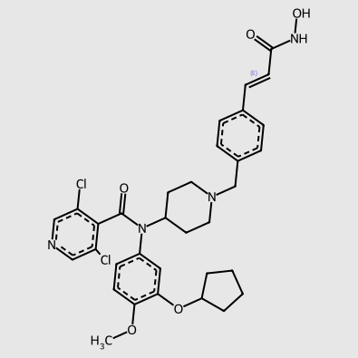 COc1ccc(N(C(=O)c2c(Cl)cncc2Cl)C2CCN(Cc3ccc(/C=C/C(=O)NO)cc3)CC2)cc1OC1CCCC1